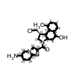 Cc1cccc2c(O)cc3c(c12)[C@H](CCl)CN3C(=O)c1cn2cc(N)ccc2n1